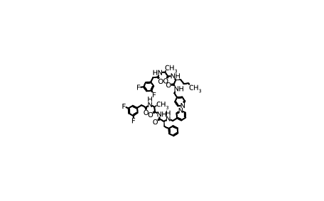 CCCC[C@H](NC(=O)[C@H](C)NC(=O)Cc1cc(F)cc(F)c1)C(=O)NCc1ccncc1.C[C@H](NC(=O)Cc1cc(F)cc(F)c1)C(=O)NC(=O)[C@H](Cc1ccccc1)NCc1cccnc1